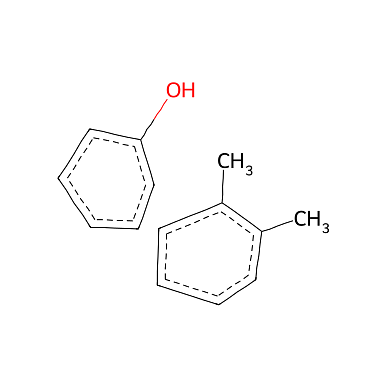 Cc1ccccc1C.Oc1ccccc1